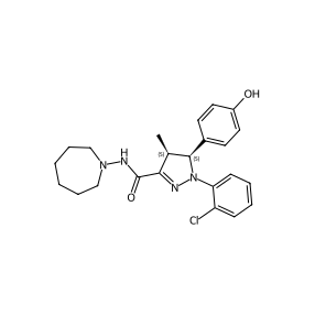 C[C@@H]1C(C(=O)NN2CCCCCC2)=NN(c2ccccc2Cl)[C@@H]1c1ccc(O)cc1